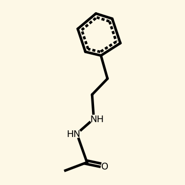 CC(=O)NNCCc1ccccc1